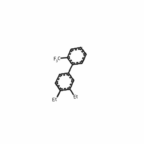 CCc1ccc(-c2cc[c]cc2C(F)(F)F)cc1CC